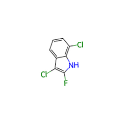 Fc1[nH]c2c(Cl)cccc2c1Cl